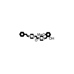 COc1cccc(O)c1CN1CCN(C(=O)CN2CCN(CCc3ccccc3)CC2)CC1